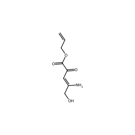 C=CCOC(=O)C(=O)C=C(N)CO